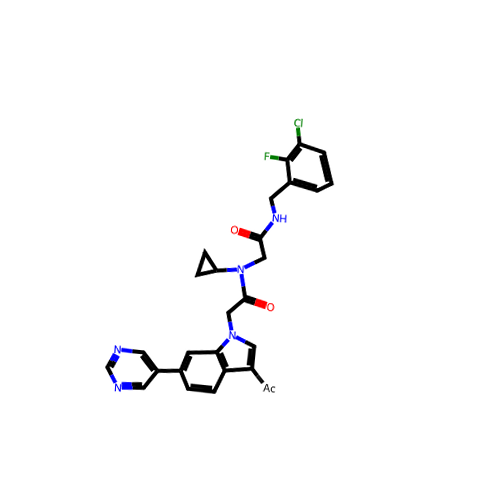 CC(=O)c1cn(CC(=O)N(CC(=O)NCc2cccc(Cl)c2F)C2CC2)c2cc(-c3cncnc3)ccc12